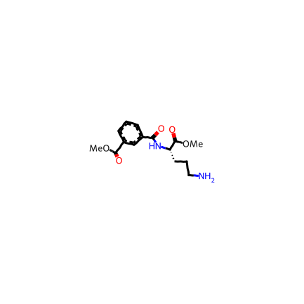 COC(=O)c1cccc(C(=O)N[C@@H](CCCN)C(=O)OC)c1